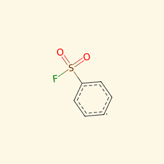 O=S(=O)(F)c1cc[c]cc1